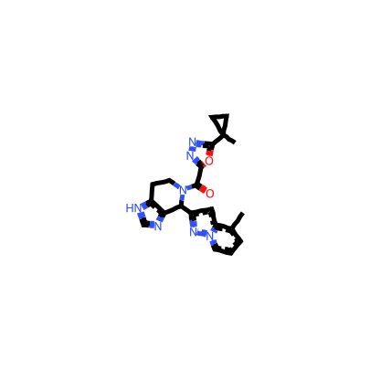 Cc1cccn2nc(C3c4nc[nH]c4CCN3C(=O)c3nnc(C4(C)CC4)o3)cc12